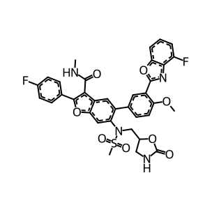 CNC(=O)c1c(-c2ccc(F)cc2)oc2cc(N(CC3CNC(=O)O3)S(C)(=O)=O)c(-c3ccc(OC)c(-c4nc5c(F)cccc5o4)c3)cc12